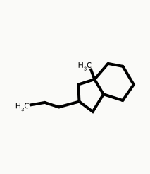 CCCC1CC2CCCCC2(C)C1